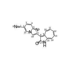 N#Cc1ccc2nc(-c3c4cccccc-4[nH]c3=O)cn2c1